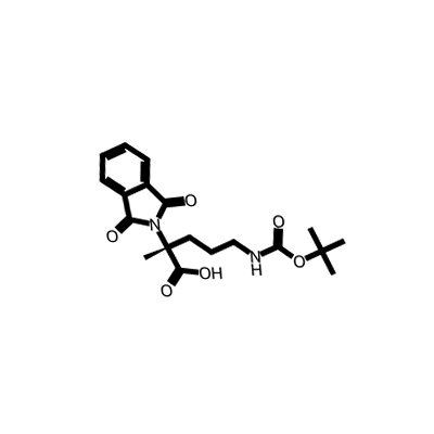 CC(C)(C)OC(=O)NCCC[C@](C)(C(=O)O)N1C(=O)c2ccccc2C1=O